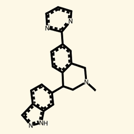 CN1Cc2cc(-c3ncccn3)ccc2C(c2ccc3cn[nH]c3c2)C1